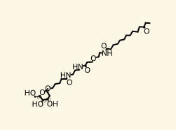 CCC(=O)CCCCCCCCCCC(=O)NCCOCCC(=O)NCCCNC(=O)CCCCO[C@H]1C[C@@H](O)[C@@H](O)[C@@H](CO)O1